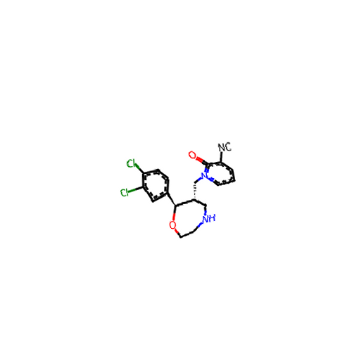 [C-]#[N+]c1cccn(C[C@@H]2CNCCO[C@H]2c2ccc(Cl)c(Cl)c2)c1=O